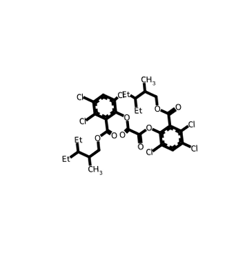 CCC(CC)C(C)COC(=O)c1c(Cl)c(Cl)cc(Cl)c1OC(=O)C(=O)Oc1c(Cl)cc(Cl)c(Cl)c1C(=O)OCC(C)C(CC)CC